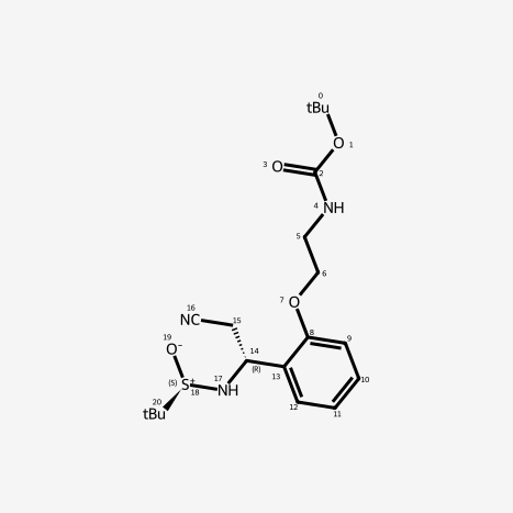 CC(C)(C)OC(=O)NCCOc1ccccc1[C@@H](CC#N)N[S@+]([O-])C(C)(C)C